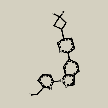 FCc1cccc(-n2ncc3ccc(-c4ccc(C5CC(F)(F)C5)[c]n4)cc32)n1